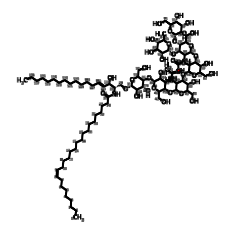 CCCCCCCC/C=C\CCCCCCCCCCCCCCCC(=O)N[C@@H](CO[C@@H]1OC(CO)[C@@H](O[C@@H]2OC(CO)[C@H](O[C@@H]3OC(CO)[C@H](O)[C@H](O[C@@H]4OC(CO)[C@H](O)[C@H](O[C@@H]5OC(CO)[C@@H](O[C@@H]6OC(CO)[C@H](O)[C@H](O)C6O)[C@H](O[C@H]6OC(C)[C@@H](O)C(O)[C@@H]6O)C5NC(C)=O)C4O)C3NC(C)=O)[C@H](O)C2O)[C@H](O)C1O)[C@H](O)/C=C/CCCCCCCCCCCCC